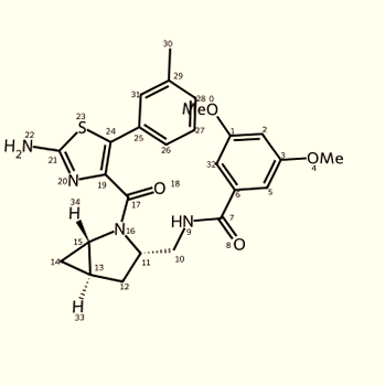 COc1cc(OC)cc(C(=O)NC[C@@H]2C[C@H]3C[C@@H]3N2C(=O)c2nc(N)sc2-c2cccc(C)c2)c1